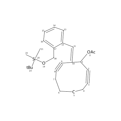 CC(=O)OC1C#CCCCCC#CC1=Cc1ccccc1CO[Si](C)(C)C(C)(C)C